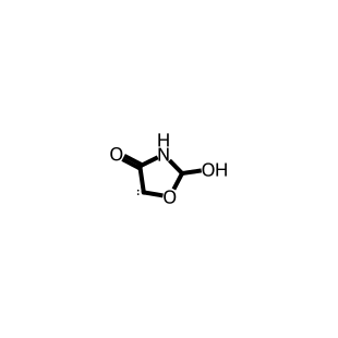 O=C1[C]OC(O)N1